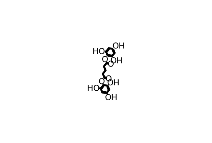 O=C(CCCC(=O)Oc1c(O)cc(O)cc1O)Oc1c(O)cc(O)cc1O